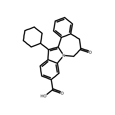 O=C1Cc2ccccc2-c2c(C3CCCCC3)c3ccc(C(=O)O)cc3n2C1